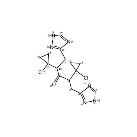 O=C(C(Cc1nc[nH]n1)C1(Cl)CC1)C(Cc1nc[nH]n1)C1(Cl)CC1